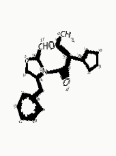 CC=C(C(=O)N1C(Cc2ccccc2)COC1C=O)C1CCCC1